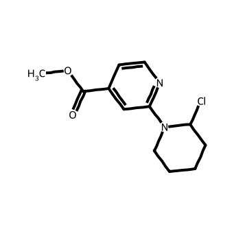 COC(=O)c1ccnc(N2CCCCC2Cl)c1